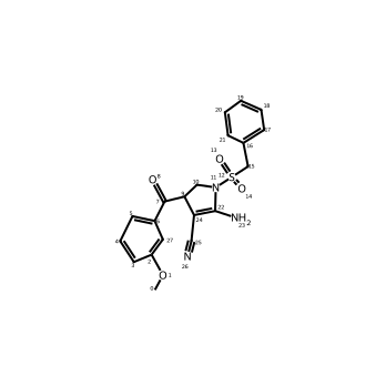 COc1cccc(C(=O)C2CN(S(=O)(=O)Cc3ccccc3)C(N)=C2C#N)c1